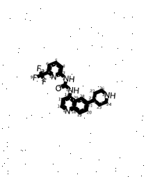 O=C(Nc1cccc(C(F)(F)F)n1)Nc1ccnc2ccc(C3CCNCC3)cc12